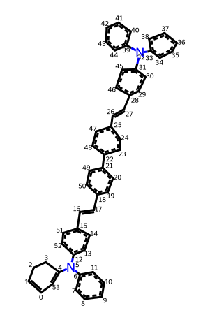 C1=CCCC(N(c2ccccc2)c2ccc(/C=C/c3ccc(-c4ccc(/C=C/c5ccc(N(c6ccccc6)c6ccccc6)cc5)cc4)cc3)cc2)=C1